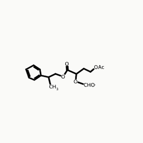 CC(=O)OCCC(O[C]=O)C(=O)OCC(C)c1ccccc1